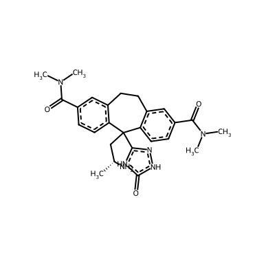 C[C@@H](N)CC1(c2n[nH]c(=O)[nH]2)c2ccc(C(=O)N(C)C)cc2CCc2cc(C(=O)N(C)C)ccc21